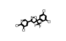 FC(F)(F)C1(c2cc(Cl)cc(Cl)c2)CC(c2cnc(Cl)c(Cl)c2)=NO1